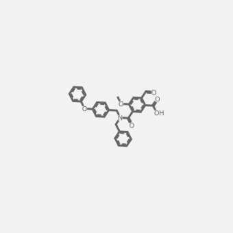 COc1cc(C=O)c(C(=O)O)cc1C(=O)N(Cc1ccccc1)Cc1ccc(Oc2ccccc2)cc1